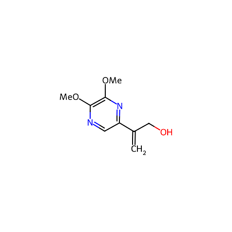 C=C(CO)c1cnc(OC)c(OC)n1